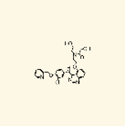 O=C(CO)N(CCO)CCOc1cccc2ncnc(Nc3ccc(OCc4ccccn4)c(Cl)c3)c12